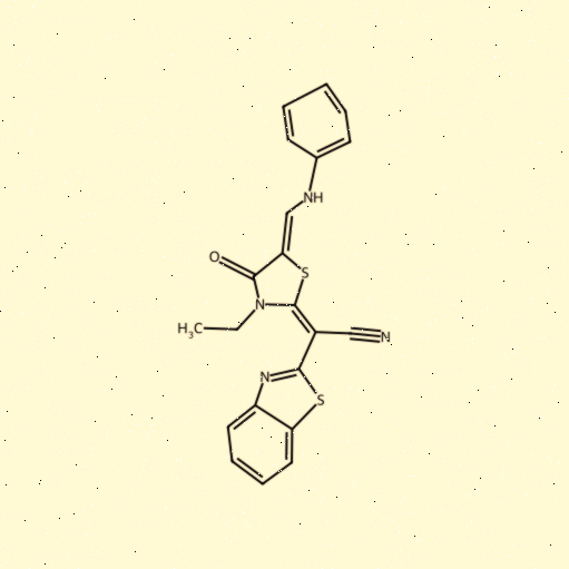 CCn1c(=C(C#N)c2nc3ccccc3s2)sc(=CNc2ccccc2)c1=O